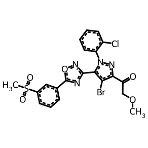 COCC(=O)c1nn(-c2ccccc2Cl)c(-c2noc(-c3cccc(S(C)(=O)=O)c3)n2)c1Br